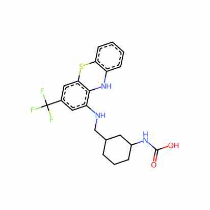 O=C(O)NC1CCCC(CNc2cc(C(F)(F)F)cc3c2Nc2ccccc2S3)C1